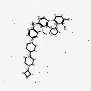 COc1cc(N2CCC(N3CCN(C4CCC4)CC3)CC2)ccc1Nc1cc(N2OCC[C@@H]2c2cccc(F)c2F)ncn1